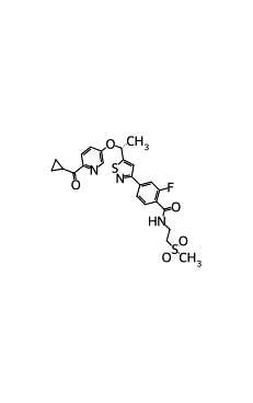 C[C@@H](Oc1ccc(C(=O)C2CC2)nc1)c1cc(-c2ccc(C(=O)NCCS(C)(=O)=O)c(F)c2)ns1